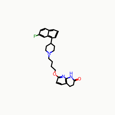 O=C1CCc2ccc(OCCCCN3CCC(c4cccc5ccc(F)cc45)CC3)nc2N1